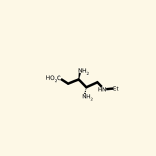 CCNC[C@H](N)[C@H](N)CC(=O)O